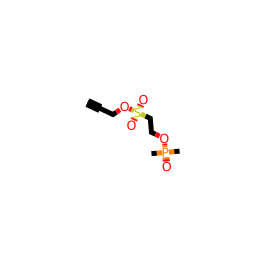 C#CCOS(=O)(=O)CCOP(C)(C)=O